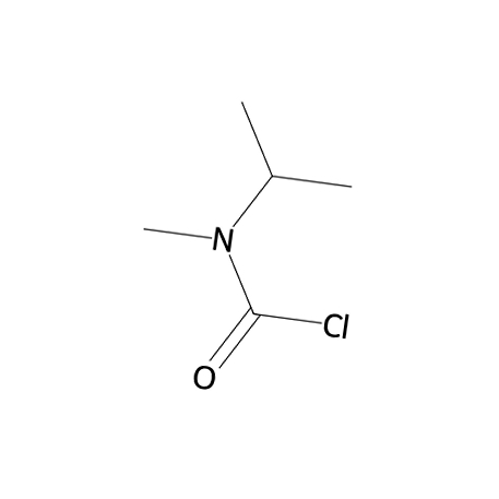 CC(C)N(C)C(=O)Cl